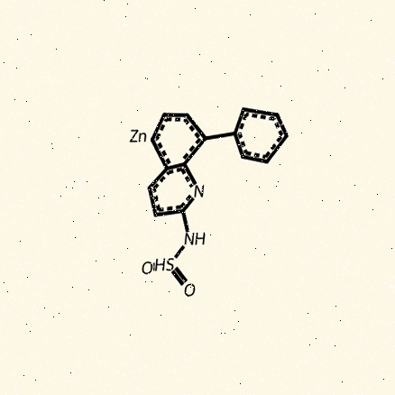 O=[SH](=O)Nc1ccc2cccc(-c3ccccc3)c2n1.[Zn]